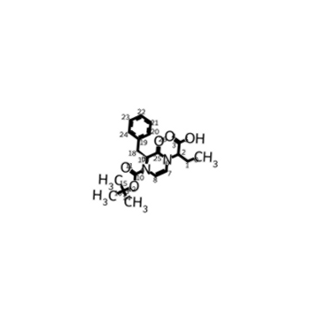 CCC(C(=O)O)N1C=CN(C(=O)OC(C)(C)C)[C@@H](Cc2ccccc2)C1=O